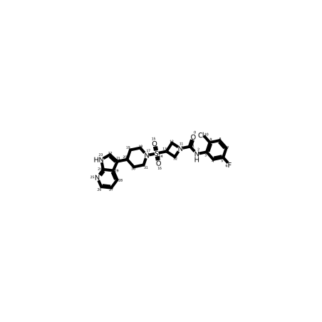 O=C(Nc1cc(F)ccc1Cl)N1CC(S(=O)(=O)N2CCC(c3c[nH]c4ncccc34)CC2)C1